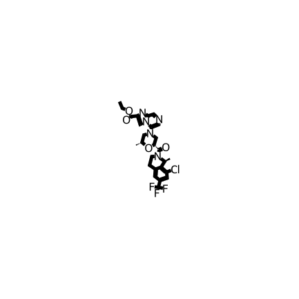 CCOC(=O)c1cn2c(N3C[C@@H](C)O[C@@H](C(=O)N4CCc5cc(C(F)(F)F)cc(Cl)c5[C@@H]4C)C3)cncc2n1